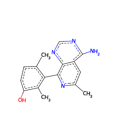 Cc1cc2c(N)ncnc2c(-c2c(C)ccc(O)c2C)n1